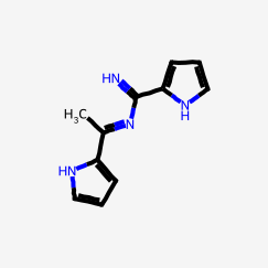 C/C(=N\C(=N)c1ccc[nH]1)c1ccc[nH]1